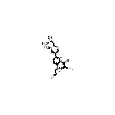 C=CCNc1ccc(C(/C=N\CCN(C)C)=C/N=C)cc1C(=N)C(=C)C